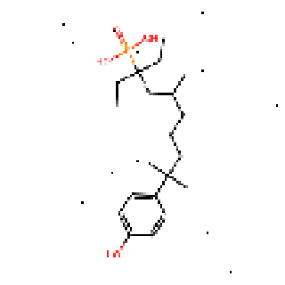 CCC(CC)(CC(C)CCCC(C)(C)c1ccc(O)cc1)P(=O)(O)O